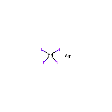 [Ag].[I][Hg]([I])([I])[I]